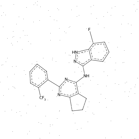 Fc1cccc2c(Nc3nc(-c4ccccc4C(F)(F)F)nc4c3CCC4)n[nH]c12